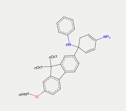 CCCCCCCCC1(CCCCCCCC)c2cc(OCCCCCCC)ccc2-c2ccc(C3(Nc4ccccc4)C=CC(N)=CC3)cc21